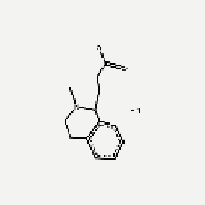 CN1CCc2ccccc2C1CCC(=O)O.Cl